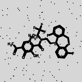 CC(=O)c1cn(N)c(C(=O)N(CC[C@@H]2c3cccc(F)c3SCc3cccc(F)c32)[C@H](C)C(F)(F)F)c(O)c1=O